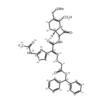 CSCC1=C(C(=O)O)N2C(=O)C(NC(=O)C(=NOCC(=O)OC(c3ccccc3)c3ccccc3)c3csc(NC(=O)C(F)(F)F)n3)[C@@H]2SC1